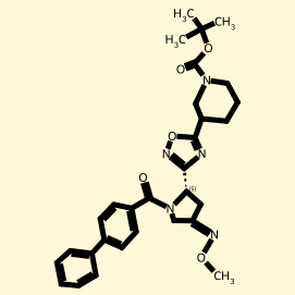 CON=C1C[C@@H](c2noc(C3CCCN(C(=O)OC(C)(C)C)C3)n2)N(C(=O)c2ccc(-c3ccccc3)cc2)C1